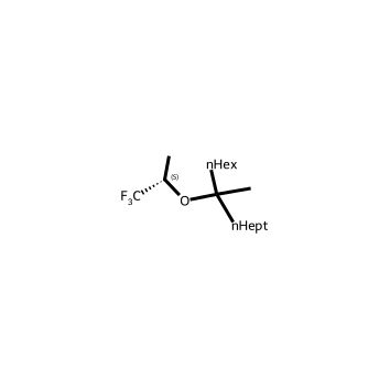 CCCCCCCC(C)(CCCCCC)O[C@@H](C)C(F)(F)F